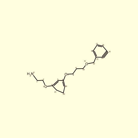 NCCOC1=CC(OCCCOCc2c#cccc2)=CCC1